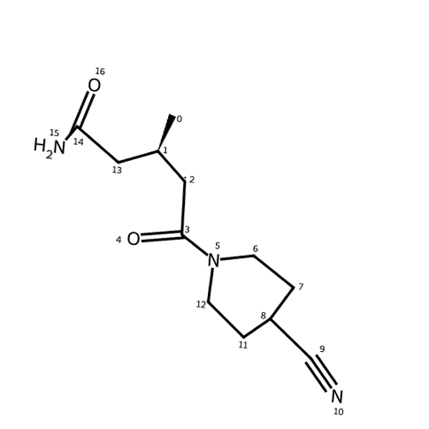 C[C@@H]([CH]C(=O)N1CCC(C#N)CC1)CC(N)=O